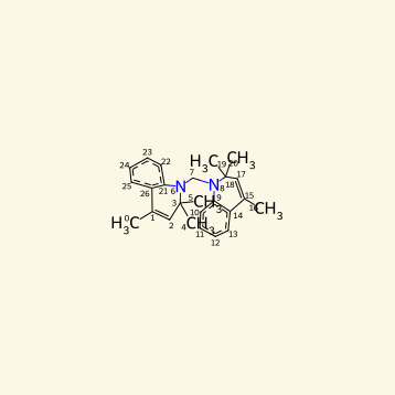 CC1=CC(C)(C)N(CN2c3ccccc3C(C)=CC2(C)C)c2ccccc21